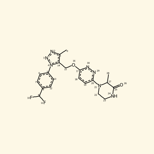 Cc1nnn(-c2ccc(C(F)F)cc2)c1COc1ccc(N2CCNC(=O)C2C)nn1